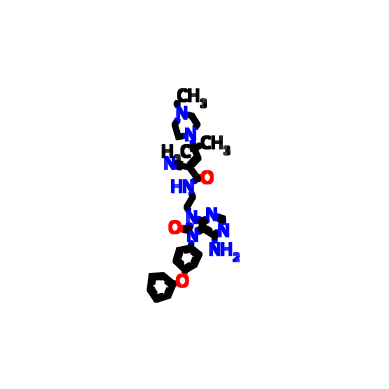 CCN1CCN(C(C)(C)C=C(C#N)C(=O)NCCn2c(=O)n(-c3ccc(Oc4ccccc4)cc3)c3c(N)ncnc32)CC1